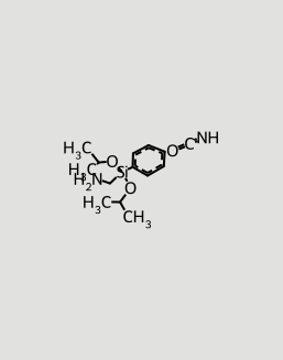 CC(C)O[Si](CN)(OC(C)C)c1ccccc1.N=C=O